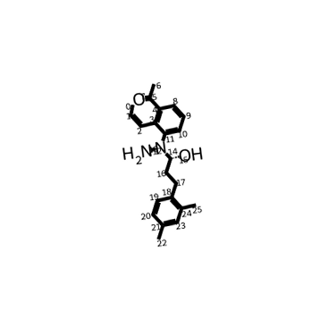 C/C=C\c1c(C(C)=O)cccc1N(N)[C@H](O)CCc1ccc(C)cc1C